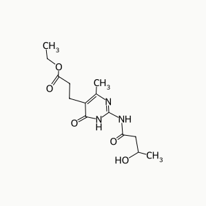 CCOC(=O)CCc1c(C)nc(NC(=O)CC(C)O)[nH]c1=O